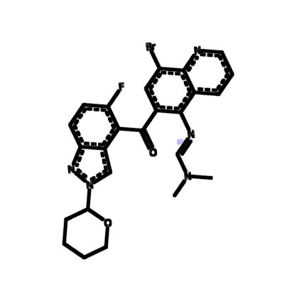 CN(C)/C=N/c1c(C(=O)c2c(F)ccc3nn(C4CCCCO4)cc23)cc(Br)c2ncccc12